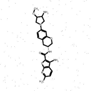 COC1CN(c2ccc3c(c2)OC[C@H](NC(=O)c2sc4nc(C)ccc4c2N)C3)CC1N